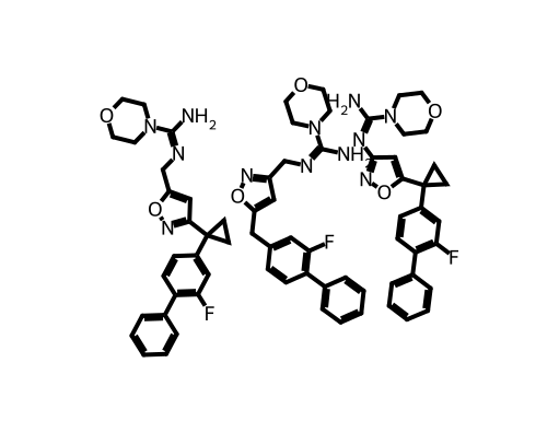 NC(=NCc1cc(C2(c3ccc(-c4ccccc4)c(F)c3)CC2)no1)N1CCOCC1.NC(=NCc1cc(Cc2ccc(-c3ccccc3)c(F)c2)on1)N1CCOCC1.NC(=Nc1cc(C2(c3ccc(-c4ccccc4)c(F)c3)CC2)on1)N1CCOCC1